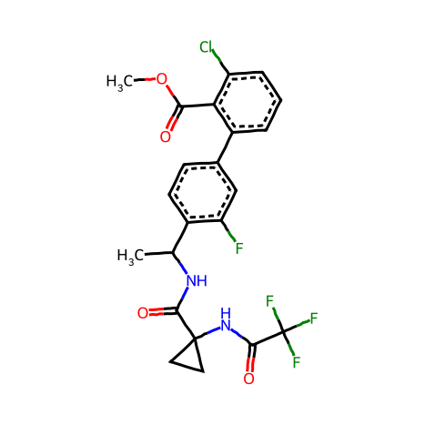 COC(=O)c1c(Cl)cccc1-c1ccc(C(C)NC(=O)C2(NC(=O)C(F)(F)F)CC2)c(F)c1